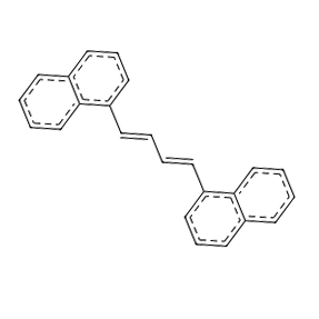 C(C=Cc1cccc2ccccc12)=Cc1cccc2ccccc12